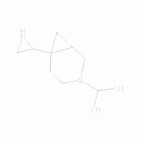 CC(C)N1CCC2(C3CN3)CC2C1